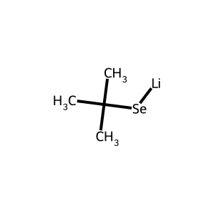 [Li][Se]C(C)(C)C